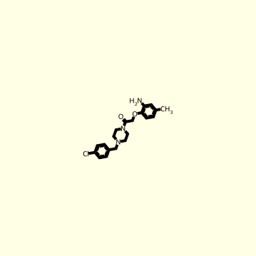 Cc1ccc(OCC(=O)N2CCN(Cc3ccc(Cl)cc3)CC2)c(N)c1